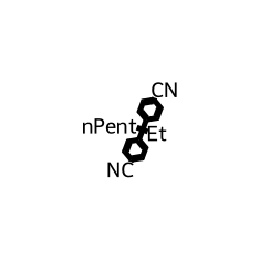 CCCCCC(CC)(c1ccc(C#N)cc1)c1ccc(C#N)cc1